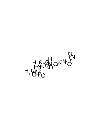 Cc1cc(S(=O)(=O)NC(=O)c2ccc(N3CCN(Cc4ccccc4-c4cnc5ccccc5c4)CC3)cc2)ccc1N[C@H](CCN(C)C)CSc1ccccc1